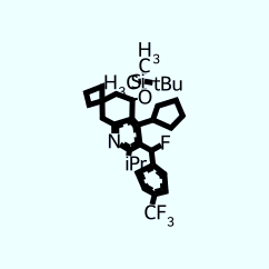 CC(C)c1nc2c(c(C3CCCC3)c1C(F)c1ccc(C(F)(F)F)cc1)[C@@H](O[Si](C)(C)C(C)(C)C)CC1(CCC1)C2